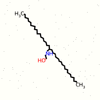 CCCCCCCCCCCCCCCCCCC(CCCCCCCCCCCCCCCCCC)CNCCO